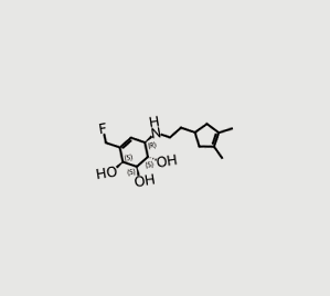 CC1=C(C)CC(CCN[C@@H]2C=C(CF)[C@H](O)[C@H](O)[C@H]2O)C1